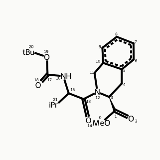 COC(=O)[C@@H]1Cc2ccccc2CN1C(=O)C(NC(=O)OC(C)(C)C)C(C)C